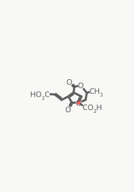 CC1COC(=O)/C(C=CC(=O)O)=C(\C=CC(=O)O)C(=O)O1